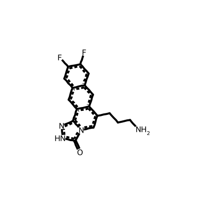 NCCCc1cn2c(=O)[nH]nc2c2cc3cc(F)c(F)cc3cc12